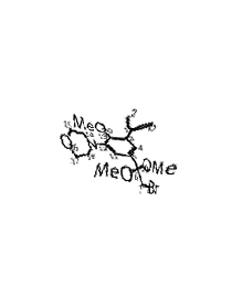 C=C(C)c1cc(C(CBr)(OC)OC)cc(N2CCOCC2)c1OC